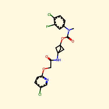 CN(C(=O)OC12CC(NC(=O)COc3ccc(Cl)cn3)(C1)C2)c1ccc(Cl)c(F)c1